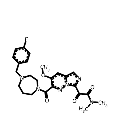 COc1cc2cnc(C(=O)C(=O)N(C)C)n2nc1C(=O)N1CCCN(Cc2ccc(F)cc2)CC1